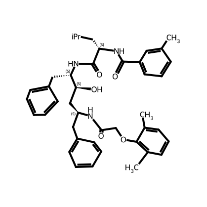 Cc1cccc(C(=O)N[C@@H](CC(C)C)C(=O)N[C@@H](Cc2ccccc2)[C@@H](O)C[C@H](Cc2ccccc2)NC(=O)COc2c(C)cccc2C)c1